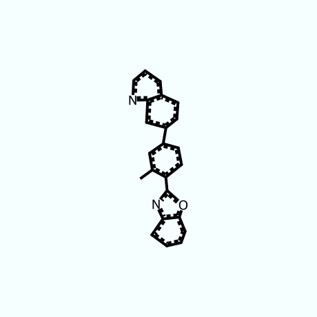 Cc1cc(-c2ccc3cccnc3c2)ccc1-c1nc2ccccc2o1